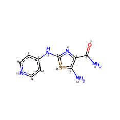 NC(=O)c1nc(Nc2ccncc2)sc1N